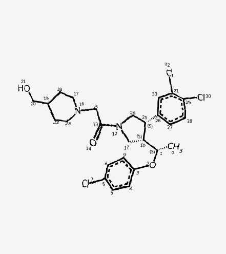 C[C@H](Oc1ccc(Cl)cc1)[C@@H]1CN(C(=O)CN2CCC(CO)CC2)C[C@@H]1c1ccc(Cl)c(Cl)c1